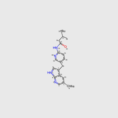 COc1cnc2[nH]cc(Cc3ccc(NC(=O)CC(C)C(C)(C)C)nc3)c2c1